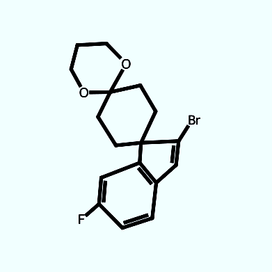 Fc1ccc2c(c1)C1(CCC3(CC1)OCCCO3)C(Br)=C2